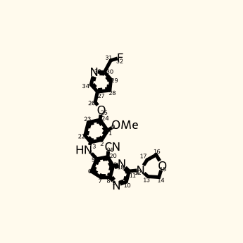 COc1cc(Nc2ccc3ncc(N4CCOCC4)nc3c2C#N)ccc1OCc1ccc(CF)nc1